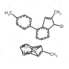 CC1=C2C3=NC=CC3=C1[Si]2(C)C.CC1=Cc2c(-c3ccc(C)cc3)cccc2[CH]1[Zr]